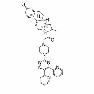 CC1C[C@H]2[C@@H]3CCC4=CC(=O)C=C[C@]4(C)C3=CC[C@]2(C)[C@H]1C(=O)CN1CCN(c2nnc(-c3ccccn3)c(-c3ccccn3)n2)CC1